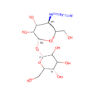 [N-]=[N+]=N[C@H]1C(CO)O[C@H](O[C@H]2OC(CO)[C@@H](O)C(O)C2O)C(O)C1O